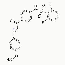 COc1ccc(/C=C/C(=O)c2ccc(NS(=O)(=O)c3c(F)cccc3F)cc2)cc1